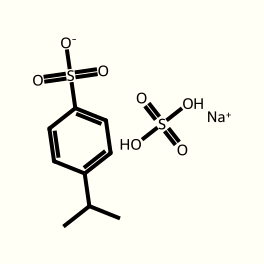 CC(C)c1ccc(S(=O)(=O)[O-])cc1.O=S(=O)(O)O.[Na+]